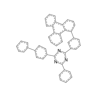 c1ccc(-c2ccc(-c3nc(-c4ccccc4)nc(-c4cccc(-c5cccc6c7ccccc7c7ccccc7c56)c4)n3)cc2)cc1